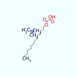 CCCCCCCCCCCCCCOC(=O)C(=O)O.CN(C)C